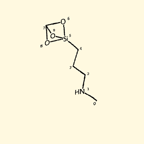 CNCCC[Si]12OC(O1)O2